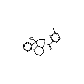 Cc1cccc(C(=O)N2CCC(O)(c3ccccc3)C3CCCCC32)n1